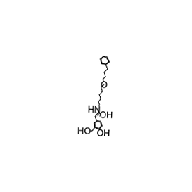 OCc1cc(C[C@H](O)NCCCCCCOCCCCc2ccccc2)ccc1O